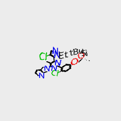 [CH2][C@H](COc1ccc(Cl)c(-c2nc(-c3c(Cl)cnn3CC)c(C)c(N3Cc4cccnc4C3)n2)c1)O[Si](C)(C)C(C)(C)C